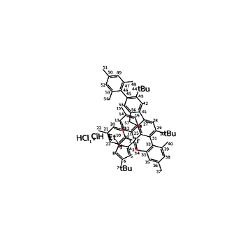 Cl.Cl.[CH2]=[Zr]([C]1=CC(C(C)(C)C)=CC1CC)([c]1ccc(C)cc1)([c]1ccc(C)cc1)[c]1c2c(cc(C(C)(C)C)c1-c1c(C)cc(C)cc1C)-c1cc(C(C)(C)C)c(-c3c(C)cc(C)cc3C)cc1C2